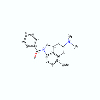 CCCN(CCC)C1Cc2c(OC)ccc3c2C(C1)CN3C(=O)c1ccccc1